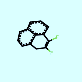 FC1=C(F)c2[c]ccc3cccc(c23)[CH]1